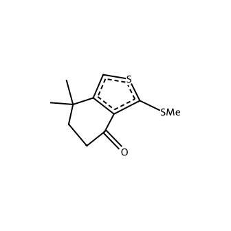 CSc1scc2c1C(=O)CCC2(C)C